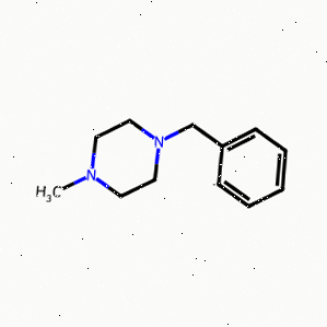 CN1CCN(Cc2[c]cccc2)CC1